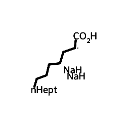 CCCCCCCCCCCC[CH]C(=O)O.[NaH].[NaH]